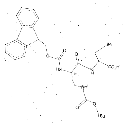 CC(C)CC(NC(=O)[C@H](CNC(=O)OC(C)(C)C)NC(=O)OCC1c2ccccc2-c2ccccc21)C(=O)O